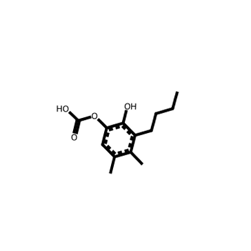 CCCCc1c(C)c(C)cc(OC(=O)O)c1O